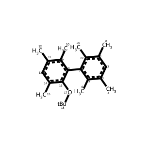 Cc1cc(C)c(C)c(-c2c(C)c(C)cc(C)c2OC(C)(C)C)c1C